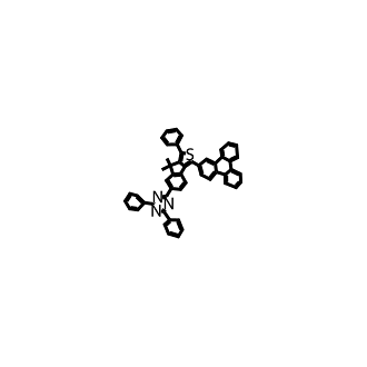 CC1(C)c2cc(-c3nc(-c4ccccc4)nc(-c4ccccc4)n3)ccc2-c2c(-c3ccc4c5ccccc5c5ccccc5c4c3)sc(-c3ccccc3)c21